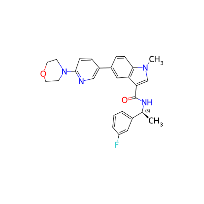 C[C@H](NC(=O)c1cn(C)c2ccc(-c3ccc(N4CCOCC4)nc3)cc12)c1cccc(F)c1